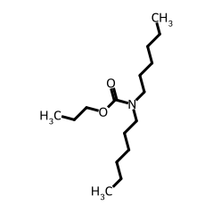 CCCCCCN(CCCCCC)C(=O)OCCC